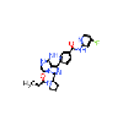 C=CC(=O)N1CCCC1c1nc(-c2ccc(C(=O)Nc3cc(F)ccn3)cc2)c2c(N)nccn12